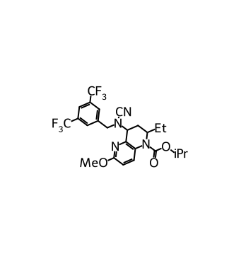 CCC1CC(N(C#N)Cc2cc(C(F)(F)F)cc(C(F)(F)F)c2)c2nc(OC)ccc2N1C(=O)OC(C)C